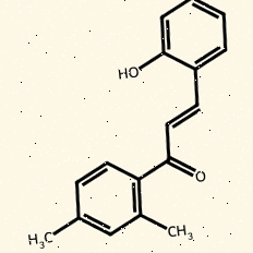 Cc1ccc(C(=O)/C=C/c2ccccc2O)c(C)c1